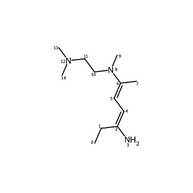 CC/C(N)=C\C=C(/C)N(C)CCN(C)C